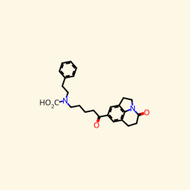 O=C(CCCCN(CCc1ccccc1)C(=O)O)c1cc2c3c(c1)CCN3C(=O)CC2